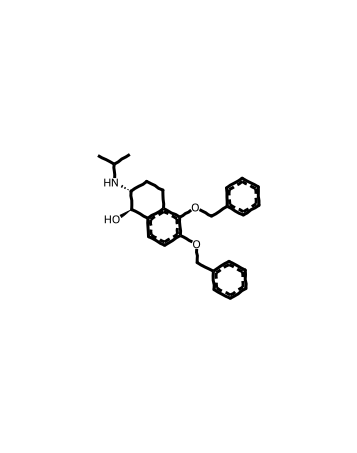 CC(C)N[C@@H]1CCc2c(ccc(OCc3ccccc3)c2OCc2ccccc2)[C@H]1O